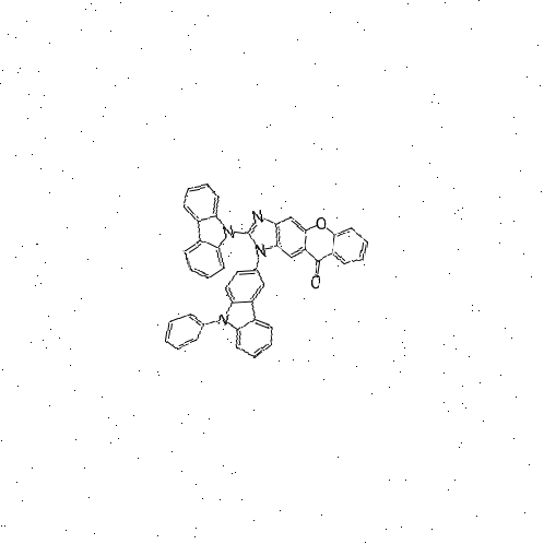 O=c1c2ccccc2oc2cc3nc(-n4c5ccccc5c5ccccc54)n(-c4ccc5c(c4)c4ccccc4n5-c4ccccc4)c3cc12